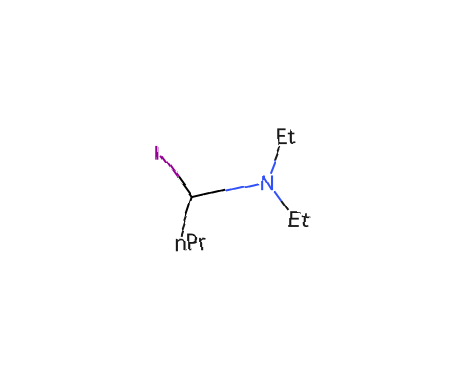 CCCC(I)N(CC)CC